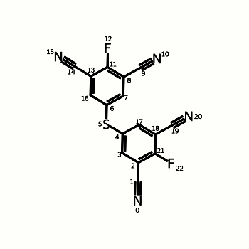 N#Cc1cc(Sc2cc(C#N)c(F)c(C#N)c2)cc(C#N)c1F